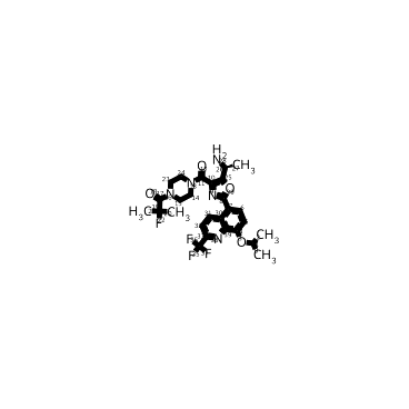 CC(C)Oc1ccc(-c2nc(C(=O)N3CCN(C(=O)C(C)(C)F)CC3)c([C@H](C)N)o2)c2ccc(C(F)(F)F)nc12